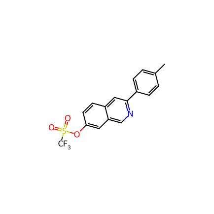 Cc1ccc(-c2cc3ccc(OS(=O)(=O)C(F)(F)F)cc3cn2)cc1